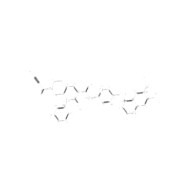 CC#CC(=O)N1CCc2cc(C(=O)Nc3ccc(Oc4ccnc5cc(OC)c(OC)cc45)cn3)c(=O)n(-c3ccccc3)c2C1